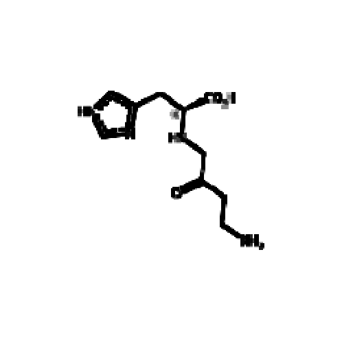 NCCC(=O)CN[C@@H](Cc1c[nH]cn1)C(=O)O